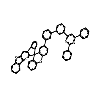 c1ccc(-c2cc(-c3cccc(-c4cccc(-c5ccc6c(c5)C5(c7ccccc7S6)c6ccccc6-c6cc7sc8ccccc8c7cc65)c4)c3)nc(-c3ccccc3)n2)cc1